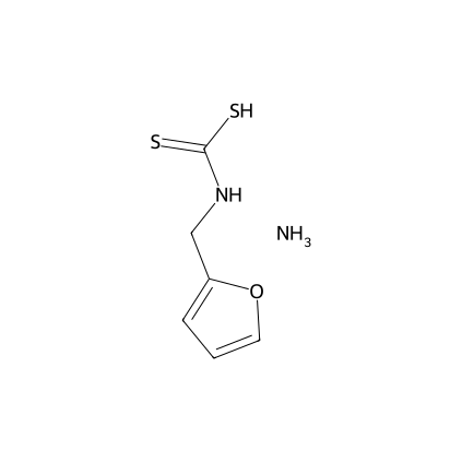 N.S=C(S)NCc1ccco1